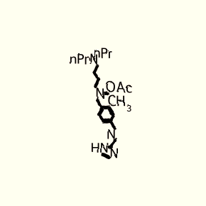 CCCN(CCC)CCCCN(Cc1ccc(CN=Cc2ncc[nH]2)cc1)C(C)OC(C)=O